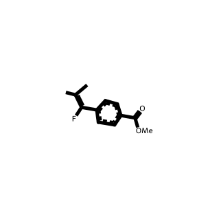 COC(=O)c1ccc(C(F)=C(C)C)cc1